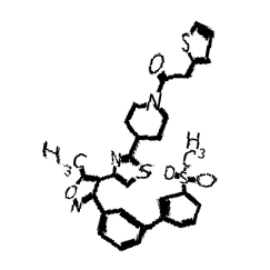 Cc1onc(-c2cccc(-c3cccc(S(C)(=O)=O)c3)c2)c1-c1csc(C2CCN(C(=O)Cc3cccs3)CC2)n1